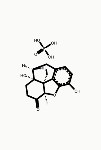 O=C1CC[C@@]2(O)[C@H]3Cc4ccc(O)c5c4[C@@]2(CCN3)[C@H]1O5.O=P(O)(O)O